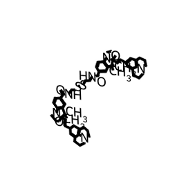 CC1(C)c2cc(C(=O)NCCSSCCNC(=O)c3ccc4c(c3)C(C)(C)C3(/C=C/C5C=C6CCCN7CCCC(=C67)C5)OCCN43)ccc2N2CCOC21/C=C/c1cc2c3c(c1)CCCN3CCC2